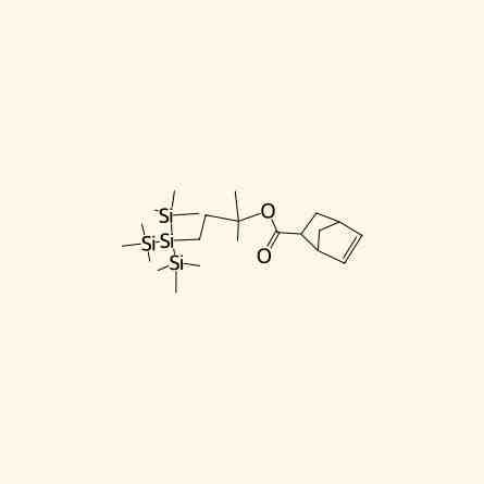 CC(C)(CC[Si]([Si](C)(C)C)([Si](C)(C)C)[Si](C)(C)C)OC(=O)C1CC2C=CC1C2